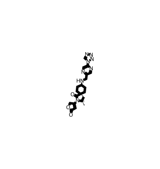 C[C@H]1C[C@]2(CC[C@H](NCc3cnc(-n4cnnn4)cn3)CC2)C(=O)N1C1=CC(=O)OC1